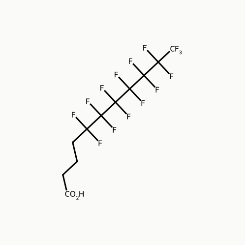 O=C(O)CCCC(F)(F)C(F)(F)C(F)(F)C(F)(F)C(F)(F)C(F)(F)C(F)(F)F